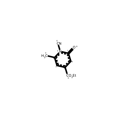 CCOC(=O)c1cc(C)n(C#N)c(=O)c1